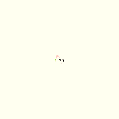 BF.[AlH3].[Ti]